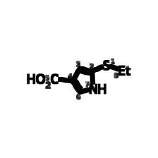 CCSc1cc(C(=O)O)c[nH]1